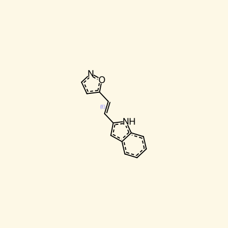 C(=C\c1ccno1)/c1cc2ccccc2[nH]1